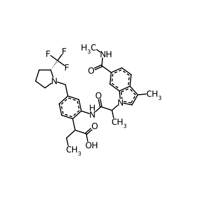 CCC(C(=O)O)c1ccc(CN2CCC[C@@H]2C(F)(F)F)cc1NC(=O)C(C)n1cc(C)c2ccc(C(=O)NC)cc21